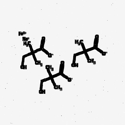 CC(C)(CO)C(=O)[O-].CC(C)(CO)C(=O)[O-].CC(C)(CO)C(=O)[O-].[Fe+2].[Na+]